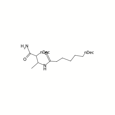 CCCCCCCCCCCCCCCC(=O)NC(C)C(CCCCCCCCCC)C(N)=O